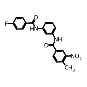 Cc1ccc(C(=O)Nc2cccc(NC(=O)c3ccc(F)cc3)c2)cc1[N+](=O)[O-]